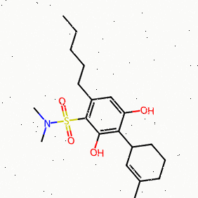 CCCCCc1cc(O)c(C2C=C(C)CCC2)c(O)c1S(=O)(=O)N(C)C